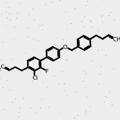 C=CCCc1ccc(COc2ccc(-c3ccc(CCC=C)c(Cl)c3F)cc2)cc1